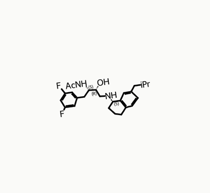 CC(=O)N[C@@H](Cc1cc(F)cc(F)c1)[C@H](O)CN[C@H]1CCCc2ccc(CC(C)C)cc21